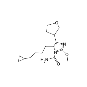 COc1nc(C2CCOC2)c(CCCCC2CC2)n1C(N)=O